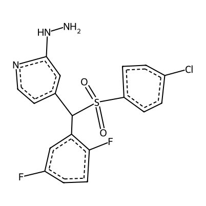 NNc1cc(C(c2cc(F)ccc2F)S(=O)(=O)c2ccc(Cl)cc2)ccn1